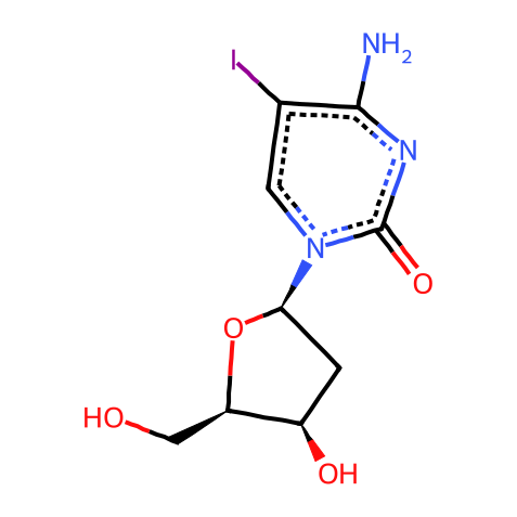 Nc1nc(=O)n([C@H]2C[C@@H](O)[C@@H](CO)O2)cc1I